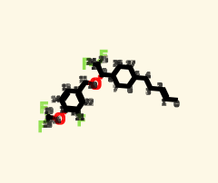 C/C=C/CCC1CCC(C(OCc2ccc(OC(F)F)c(F)c2)C(F)F)CC1